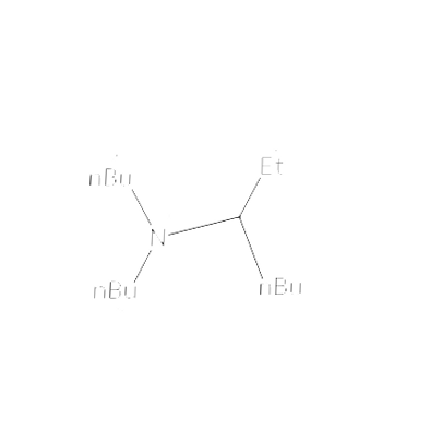 CCCCC(CC)N(CCCC)CCCC